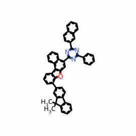 CC1(C)c2ccccc2-c2ccc(-c3cccc4c3oc3cc(-c5nc(-c6ccccc6)nc(-c6ccc7ccccc7c6)n5)c5ccccc5c34)cc21